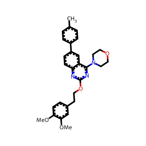 COc1ccc(CCOc2nc(N3CCOCC3)c3cc(-c4ccc(C)cc4)ccc3n2)cc1OC